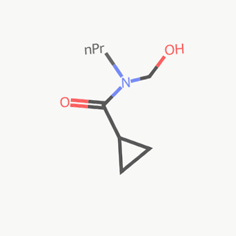 CCCN(CO)C(=O)C1CC1